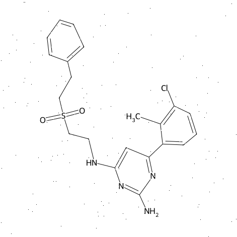 Cc1c(Cl)cccc1-c1cc(NCCS(=O)(=O)CCc2ccccc2)nc(N)n1